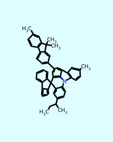 CCC(C)c1ccc2c(c1)C1(c3ccccc3-c3ccccc31)c1cc(-c3ccc4c(c3)C(C)(C)c3cc(C)ccc3-4)cc3c4cc(C)ccc4n-2c13